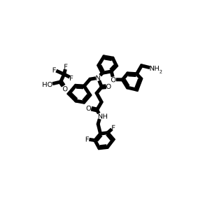 NCc1cccc(Oc2ccccc2N(Cc2ccccc2)C(=O)CCC(=O)NCc2c(F)cccc2F)c1.O=C(O)C(F)(F)F